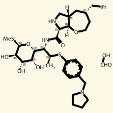 CS[C@H]1O[C@H]([C@H](NC(=O)[C@H]2NC[C@@H]3C[C@H](CC(C)C)CCO[C@H]32)[C@H](C)Sc2ccc(CN3CCCC3)cc2)[C@H](O)[C@H](O)[C@H]1O.O=CO